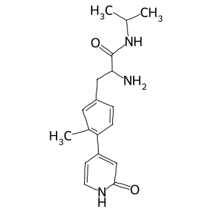 Cc1cc(CC(N)C(=O)NC(C)C)ccc1-c1cc[nH]c(=O)c1